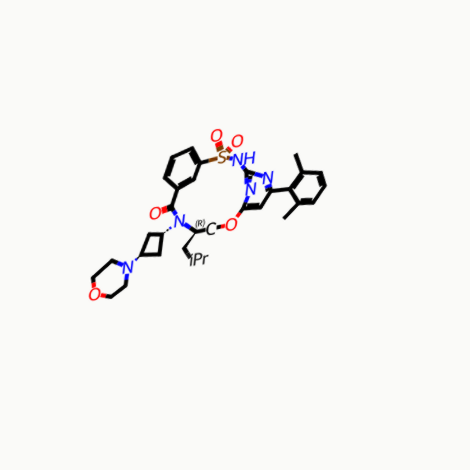 Cc1cccc(C)c1-c1cc2nc(n1)NS(=O)(=O)c1cccc(c1)C(=O)N([C@H]1C[C@@H](N3CCOCC3)C1)[C@H](CC(C)C)CO2